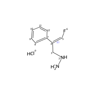 Cl.NNC/C(=C/F)c1ccccc1